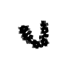 CC(C)(N)C1CCN(C(=O)Nc2cc(Oc3ccc(NC(=O)NC(=O)Cc4ccccc4)cc3)ccn2)CC1